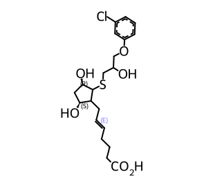 O=C(O)CCC/C=C/CC1C(SCC(O)COc2cccc(Cl)c2)[C@H](O)C[C@@H]1O